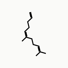 [CH]=CCCC=C(C)CCC=C(C)C